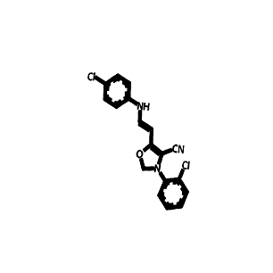 N#CC1=C(C=CNc2ccc(Cl)cc2)OCN1c1ccccc1Cl